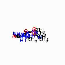 CCCNC1NC(Nc2ccc(C(N)=O)cc2)=NC=C1C(=O)NCCCNC(=O)[C@H](C)N(C)C(=O)/C=C/CN(C)C